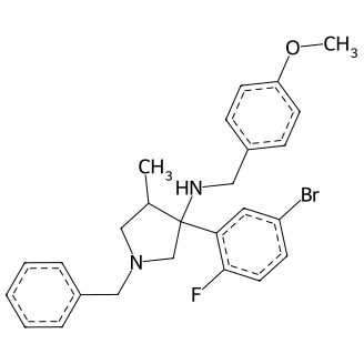 COc1ccc(CNC2(c3cc(Br)ccc3F)CN(Cc3ccccc3)CC2C)cc1